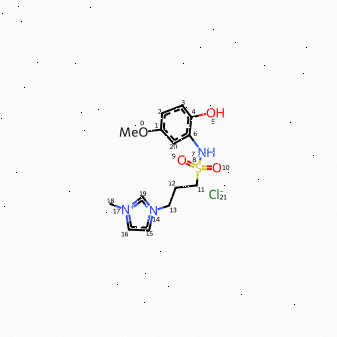 COc1ccc(O)c(NS(=O)(=O)CCCn2cc[n+](C)c2)c1.[Cl-]